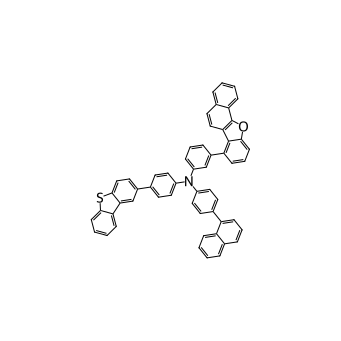 c1cc(-c2cccc3oc4c5ccccc5ccc4c23)cc(N(c2ccc(-c3ccc4sc5ccccc5c4c3)cc2)c2ccc(-c3cccc4ccccc34)cc2)c1